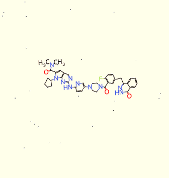 CN(C)C(=O)c1cc2cnc(Nc3ccc(N4CCN(C(=O)c5cc(Cc6n[nH]c(=O)c7ccccc67)ccc5F)CC4)cn3)nc2n1C1CCCC1